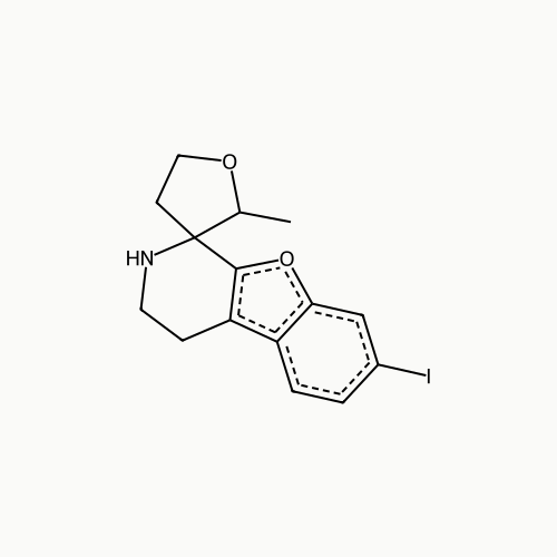 CC1OCCC12NCCc1c2oc2cc(I)ccc12